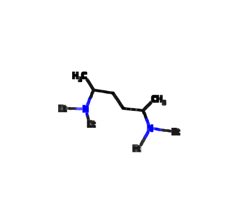 CCN(CC)C(C)CCC(C)N(CC)CC